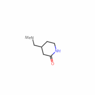 CNCC1CCNC(=O)C1